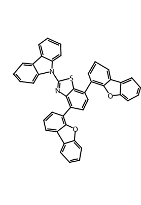 c1ccc2c(c1)oc1c(-c3ccc(-c4cccc5c4oc4ccccc45)c4sc(-n5c6ccccc6c6ccccc65)nc34)cccc12